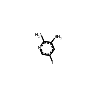 Bc1cc(I)cnc1N